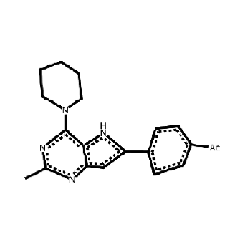 CC(=O)c1ccc(-c2cc3nc(C)nc(N4CCCCC4)c3[nH]2)cc1